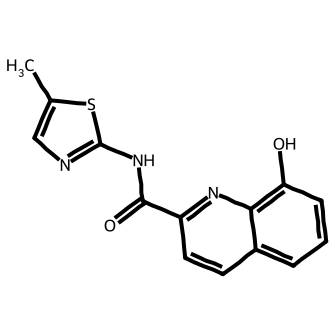 Cc1cnc(NC(=O)c2ccc3cccc(O)c3n2)s1